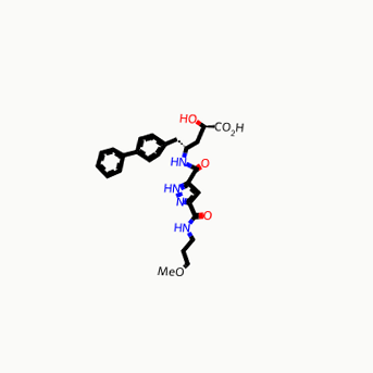 COCCCNC(=O)c1cc(C(=O)N[C@H](Cc2ccc(-c3ccccc3)cc2)C[C@@H](O)C(=O)O)[nH]n1